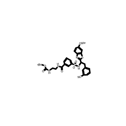 COc1ccc2nc(C(Cc3cccc(C#N)c3)NS(=O)(=O)c3cccc(C(=O)NCCNC(=O)OC(C)(C)C)c3)sc2c1